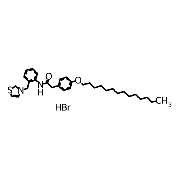 Br.CCCCCCCCCCCCCCOc1ccc(CC(=O)Nc2ccccc2CN2C=CSC2)cc1